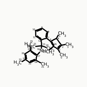 CC1=C(C)C(C)C(c2ccccc2C(C)(C)Nc2c(C)cc(C)cc2C)=C1C